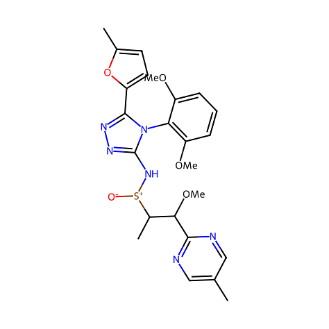 COc1cccc(OC)c1-n1c(N[S+]([O-])C(C)C(OC)c2ncc(C)cn2)nnc1-c1ccc(C)o1